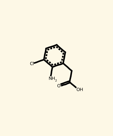 Nc1c(Cl)cccc1CC(=O)O